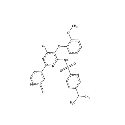 COc1ccccc1Oc1c(Cl)nc(-c2cc[nH]c(=O)c2)nc1NS(=O)(=O)c1ccc(C(C)C)cn1